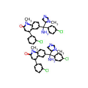 Cn1cncc1C(N)(c1ccc(Cl)cc1)c1ccc2c(c1)c(-c1cccc(Cl)c1)cc(=O)n2C.Cn1cncc1C(N)(c1ccc(Cl)cc1)c1ccc2c(c1)c(-c1cccc(Cl)c1)cc(=O)n2C